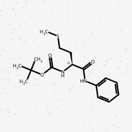 CSCC[C@H](NC(=O)OC(C)(C)C)C(=O)Nc1ccccc1